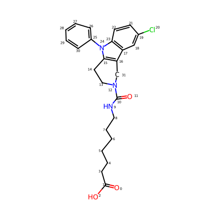 O=C(O)CCCCCCNC(=O)N1CCc2c(c3cc(Cl)ccc3n2-c2ccccc2)C1